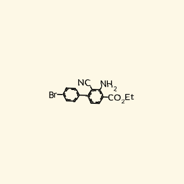 CCOC(=O)c1ccc(-c2ccc(Br)cc2)c(C#N)c1N